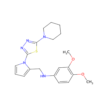 COc1ccc(NCc2cccn2-c2nnc(N3CCCCC3)s2)cc1OC